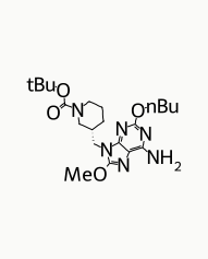 CCCCOc1nc(N)c2nc(OC)n(C[C@H]3CCCN(C(=O)OC(C)(C)C)C3)c2n1